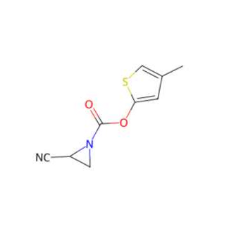 Cc1csc(OC(=O)N2CC2C#N)c1